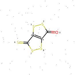 O=c1ssc2c(=S)ssc12